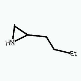 CCCCC1[CH]N1